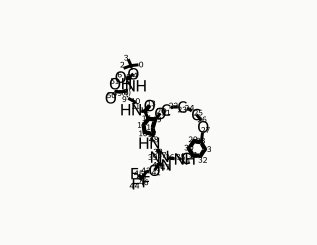 CC(C)(C)OC(=O)N[C@H](CCNC(=O)c1ccc2cc1OCCCCCCOc1ccc(cc1)CNc1nc(nc(OCC(F)(F)F)n1)N2)C(=O)O